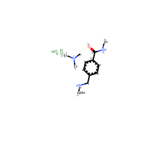 CCN(C)CC.CNNCc1ccc(C(=O)NC(C)C)cc1.Cl.Cl